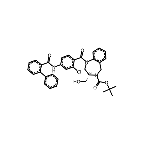 CC(C)(C)OC(=O)N1Cc2ccccc2N(C(=O)c2ccc(NC(=O)c3ccccc3-c3ccccc3)cc2Cl)C[C@H]1CO